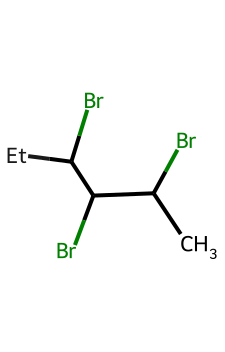 [CH2]CC(Br)C(Br)C(C)Br